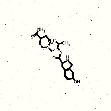 CC(C)[C@@H](CN1CCC(C(N)=S)CC1)NC(=O)C1Cc2ccc(O)cc2CN1